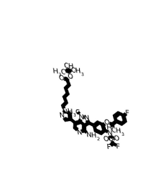 CC(Oc1cc(-c2nn(C)c3c(-c4cnn(CCCCCCC(=O)OC(C)(C)C)c4)cnc(N)c23)ccc1NS(=O)(=O)C(F)F)c1ccc(F)cc1